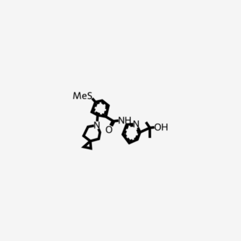 CSc1ccc(C(=O)Nc2cccc(C(C)(C)O)n2)c(N2CCC3(CC2)CC3)c1